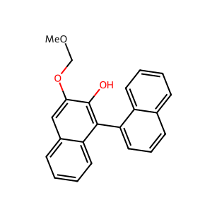 COCOc1cc2ccccc2c(-c2cccc3ccccc23)c1O